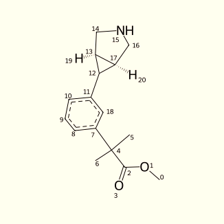 COC(=O)C(C)(C)c1cccc(C2[C@H]3CNC[C@@H]23)c1